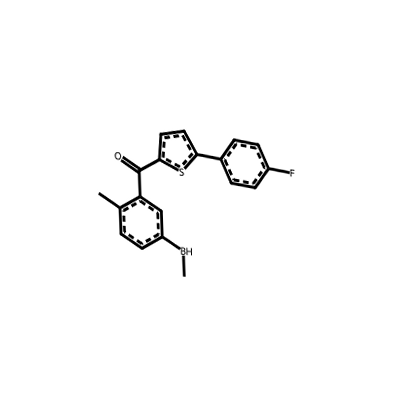 CBc1ccc(C)c(C(=O)c2ccc(-c3ccc(F)cc3)s2)c1